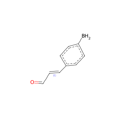 Bc1ccc(/C=C/C=O)cc1